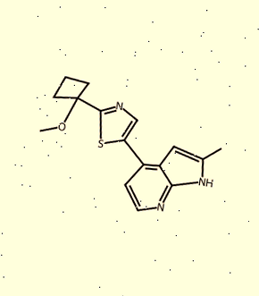 COC1(c2ncc(-c3ccnc4[nH]c(C)cc34)s2)CCC1